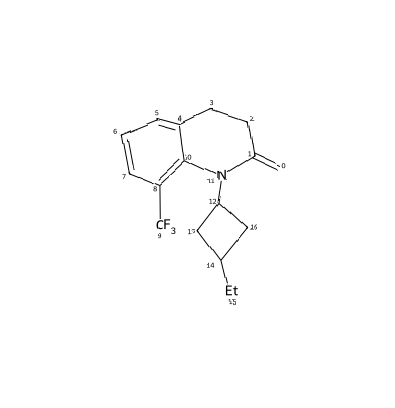 C=C1CCc2cccc(C(F)(F)F)c2N1C1CC(CC)C1